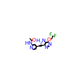 CC(=O)Nc1cc(C#Cc2ncnc(OCC(F)F)c2N)ccn1